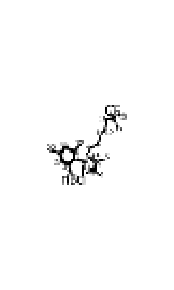 CCCCn1c(C)c(C)[n+](CCCCCC(C)(C)C(F)(F)F)c1-c1c(C)cc(C)cc1C